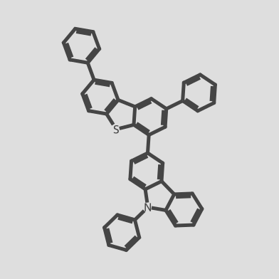 c1ccc(-c2ccc3sc4c(-c5ccc6c(c5)c5ccccc5n6-c5ccccc5)cc(-c5ccccc5)cc4c3c2)cc1